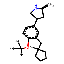 [2H]C1(Cc2cc(C3CNC(=C)C3)ccc2OC([2H])([2H])[2H])CCCC1